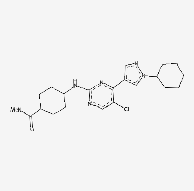 CNC(=O)C1CCC(Nc2ncc(Cl)c(-c3cnn(C4CCCCC4)c3)n2)CC1